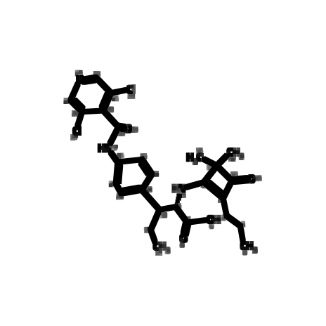 CCCC1=C(N[C@H](C(=O)O)C(CC)c2ccc(NC(=O)c3c(Cl)cncc3Cl)cc2)C(C)(C)C1=O